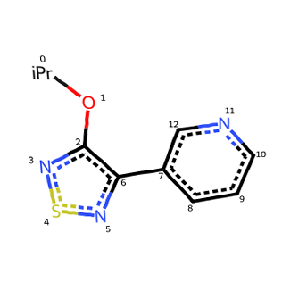 CC(C)Oc1nsnc1-c1cccnc1